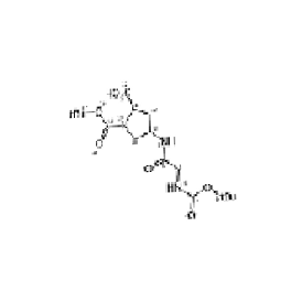 CC(C)(C)OC(=O)NCC(=O)NC1CC(C(=O)O)N(C(=O)OC(C)(C)C)C1